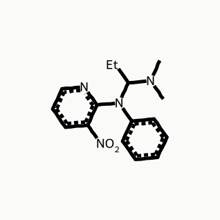 CCC(N(C)C)N(c1ccccc1)c1ncccc1[N+](=O)[O-]